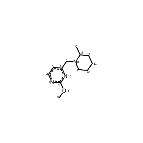 COc1nccc(CN2CCCCC2C)n1